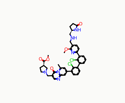 COC(=O)[C@@H]1CCN(Cc2cnc3cc(-c4cccc(-c5cccc(-c6ccc(CNC[C@H]7CCC(=O)N7)c(OC)n6)c5Cl)c4Cl)cc(C)n3c2=O)C1